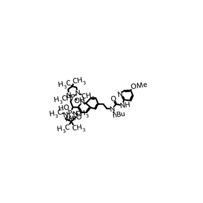 CCCCN(CCc1ccc2nc(C(C[PH]3(O)N(C)CC(C)(C)CN3C)[PH]3(O)N(C)CC(C)(C)CN3C)c(OC)cc2c1)C(=O)Nc1ccc(OC)cn1